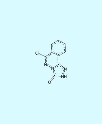 O=c1[nH]nc2c3ccccc3c(Cl)nn12